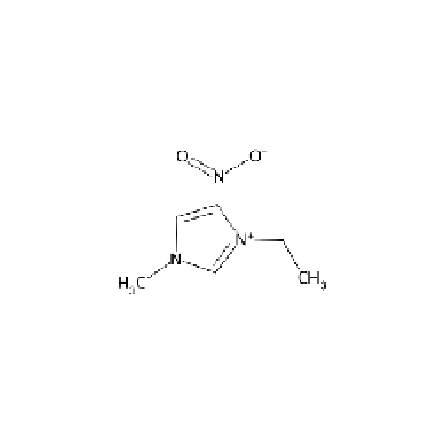 CC[n+]1ccn(C)c1.O=N[O-]